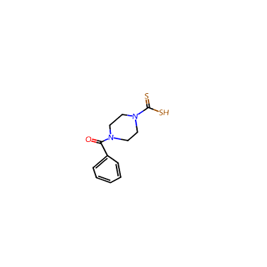 O=C(c1ccccc1)N1CCN(C(=S)S)CC1